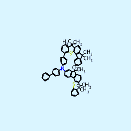 CC1(C)c2cccc(-c3ccc(N(c4ccc(-c5ccccc5)cc4)c4ccc5c(c4)C(C)(C)c4ccc6c(c4-5)Sc4ccccc4[Si]6(C)C)cc3)c2Sc2c1ccc1c2-c2ccccc2C1(C)C